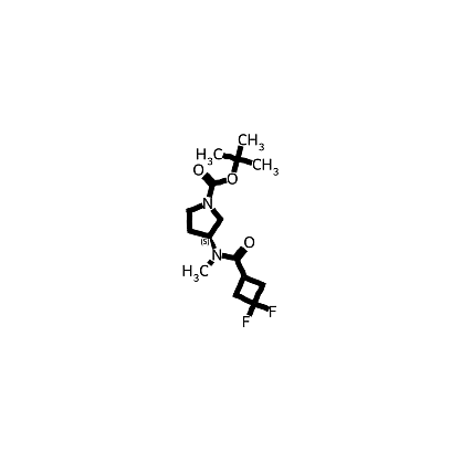 CN(C(=O)C1CC(F)(F)C1)[C@H]1CCN(C(=O)OC(C)(C)C)C1